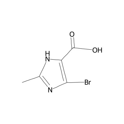 Cc1nc(Br)c(C(=O)O)[nH]1